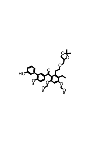 CCc1c(OCOC)cc(OCOC)c(C(=O)c2ccc(OC)c(-c3cccc(O)c3)c2)c1CCOCC1COC(C)(C)O1